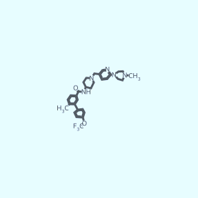 Cc1ccc(C(=O)NC2CCN(Cc3ccc(N4CCN(C)CC4)nc3)CC2)cc1-c1ccc(OC(F)(F)F)cc1